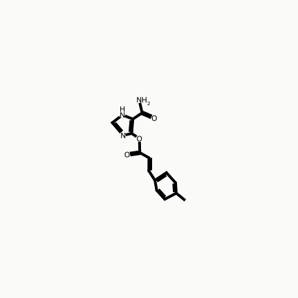 Cc1ccc(/C=C/C(=O)Oc2nc[nH]c2C(N)=O)cc1